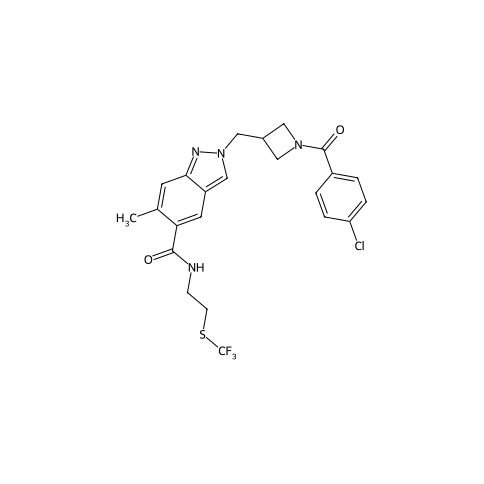 Cc1cc2nn(CC3CN(C(=O)c4ccc(Cl)cc4)C3)cc2cc1C(=O)NCCSC(F)(F)F